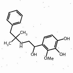 COc1c(C(O)CNC(C)(C)Cc2ccccc2)ccc(O)c1O